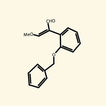 COC=C(C=O)c1ccccc1OCc1ccccc1